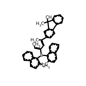 C/C=C(\C=C(/C)c1ccc2c(c1)C(C)(C)c1ccccc1-2)B(c1c(C)ccc2ccccc12)c1c(C)ccc2ccccc12